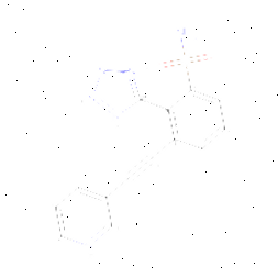 NS(=O)(=O)c1cccc(C#Cc2cccnc2)c1-c1nn[nH]n1